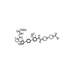 COC(=O)NCC(=O)N1C(C)CCC1c1nc(-c2ccc(-c3ccc(NC(=O)N4CCN(C5CCN(C(=O)C6CC6)CC5)CC4)cc3OC(F)(F)F)cc2)c[nH]1